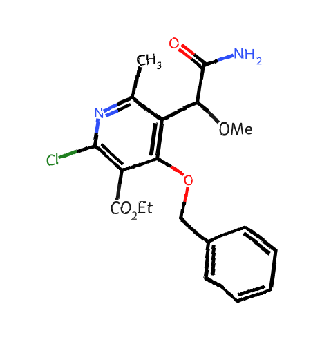 CCOC(=O)c1c(Cl)nc(C)c(C(OC)C(N)=O)c1OCc1ccccc1